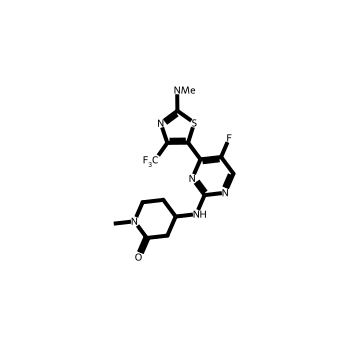 CNc1nc(C(F)(F)F)c(-c2nc(NC3CCN(C)C(=O)C3)ncc2F)s1